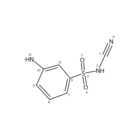 N#CNS(=O)(=O)c1cccc([NH])c1